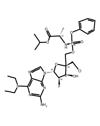 CCN(CC)c1nc(N)nc2c1ncn2[C@@H]1O[C@](CCl)(CO[P@](=O)(N[C@@H](C)C(=O)OC(C)C)Oc2ccccc2)[C@@H](O)[C@H]1F